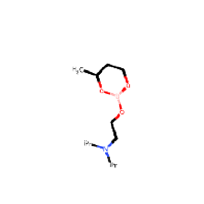 CC1CCOB(OCCN(C(C)C)C(C)C)O1